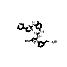 CCOC(=O)Cc1cccc(-n2nc(C(C)(C)C)cc2NC(=O)Nc2ccc(C)c(Nc3nccc(-c4cccnc4)n3)c2)c1